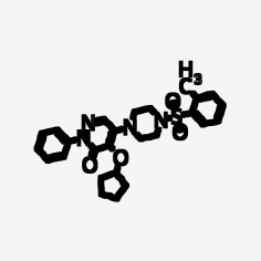 Cc1ccccc1S(=O)(=O)N1CCN(c2cnn(-c3ccccc3)c(=O)c2OC2CCCC2)CC1